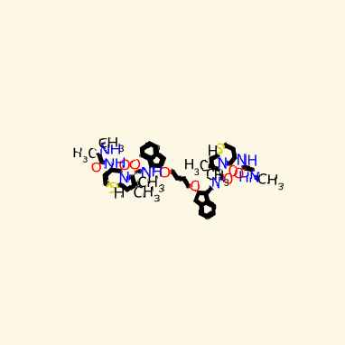 CNCC(=O)N[C@H]1CCS[C@H]2CC(C)(C)[C@@H](C(=O)[N+]#CC3c4ccccc4C[C@H]3OCCCCO[C@@H]3Cc4ccccc4[C@@H]3NC(=O)[C@H]3N4C(=O)[C@@H](NC(=O)[C@H](C)NC)CCS[C@H]4CC3(C)C)N2C1=O